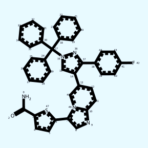 NC(=O)c1ccc(-c2cnc3ccc(-c4cn(C(c5ccccc5)(c5ccccc5)c5ccccc5)nc4-c4ccc(F)cc4)cn23)s1